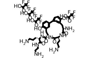 NCCC[C@H](NC(=O)[C@@H]1Cc2cc(ccc2O)-c2ccc(O)c(c2)C[C@H](N)C(=O)N[C@@H](CCCN)C(=O)N1)C(=O)NCCN.O=C(O)C(F)(F)F.O=C(O)C(F)(F)F.O=C(O)C(F)(F)F.O=C(O)C(F)(F)F